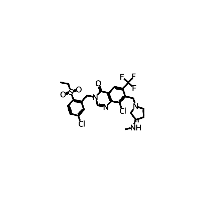 CCS(=O)(=O)c1ccc(Cl)cc1Cn1cnc2c(Cl)c(CN3CC[C@@H](NC)C3)c(C(F)(F)F)cc2c1=O